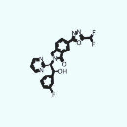 O=C1c2cc(-c3nnc(C(F)F)o3)ccc2CN1[C@H](c1ncccn1)[C@@H](O)c1cccc(F)c1